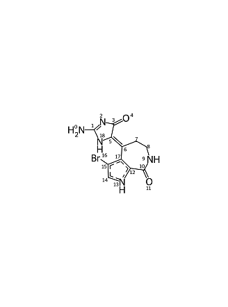 NC1=NC(=O)C(=C2CCNC(=O)c3[nH]cc(Br)c32)N1